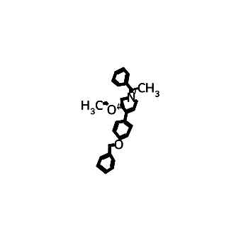 CCO[C@@H]1CN([C@H](C)c2ccccc2)CC=C1c1ccc(OCc2ccccc2)cc1